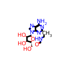 CCNC=O.Nc1ncnc2c1ncn2[C@@H]1O[C@H](CO)[C@@H](O)[C@H]1O